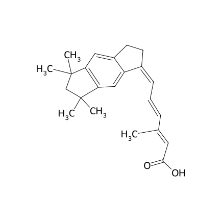 CC(/C=C/C=C1/CCc2cc3c(cc21)C(C)(C)CC3(C)C)=C\C(=O)O